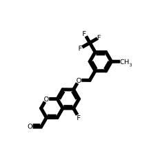 Cc1cc(COc2cc(F)c3c(c2)OCC(C=O)=C3)cc(C(F)(F)F)c1